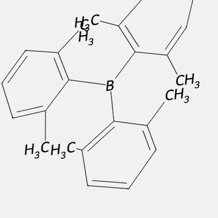 Cc1cccc(C)c1B(c1c(C)cccc1C)c1c(C)cccc1C